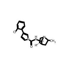 CC1CC2CCN1C[C@@H]2NC(=O)n1ccc(-c2ccccc2Cl)c1